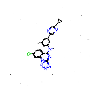 Cc1cc(-c2cnc(C3CC3)cn2)cc(N(C)c2nc3nnnn3c3cc(Cl)ccc23)c1